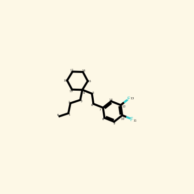 CCCCC1(CCc2ccc(F)c(F)c2)CCCCC1